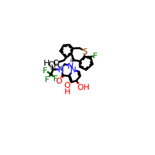 CCc1cccc2c1[C@@H](N1CN([C@H](C)C(F)(F)F)C(=O)C3=C(O)C(O)C=CN31)c1cccc(F)c1SC2